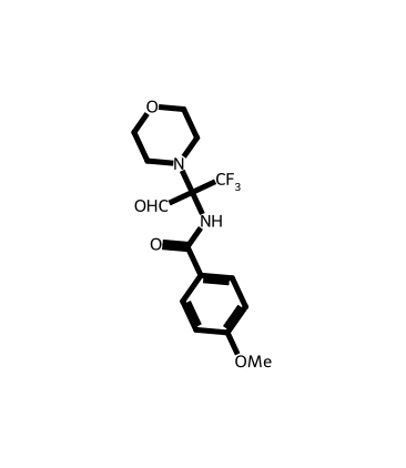 COc1ccc(C(=O)NC(C=O)(N2CCOCC2)C(F)(F)F)cc1